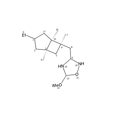 CCC1C[C@]2(C)C[C@](C)(CC3NOC(OC)N3)[C@]2(C)C1